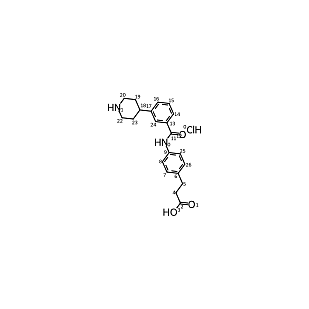 Cl.O=C(O)CCc1ccc(NC(=O)c2cccc(C3CCNCC3)c2)cc1